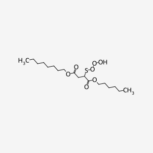 CCCCCCCCOC(=O)CC(SOOO)C(=O)OCCCCCC